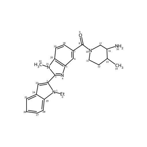 CCn1c(-c2nc3cc(C(=O)N4CCC(C)C(N)C4)ccc3n2C)cc2ccccc21